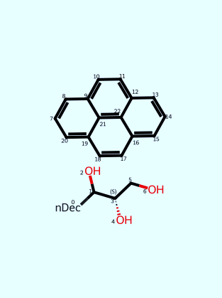 CCCCCCCCCCC(O)[C@@H](O)CO.c1cc2ccc3cccc4ccc(c1)c2c34